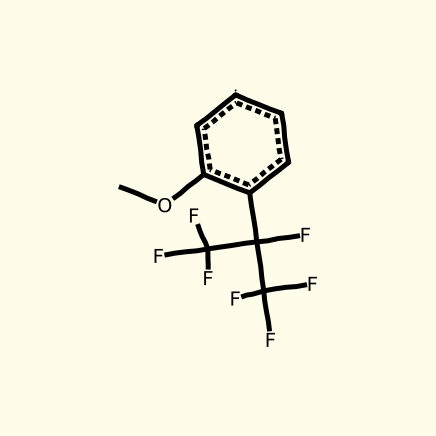 COc1c[c]ccc1C(F)(C(F)(F)F)C(F)(F)F